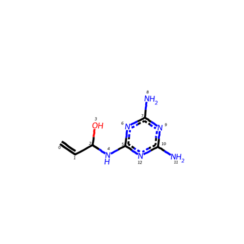 C=CC(O)Nc1nc(N)nc(N)n1